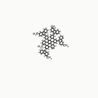 Cc1ccc2c(c1)c1ccccc1n2-c1ccc(-c2c(-c3ccncc3)c(-c3ccc(-n4c5ccccc5c5cc(C)ccc54)cc3)c(-c3cccc(C)n3)c(-c3ccc(-n4c5ccccc5c5cc(C)ccc54)cc3)c2-c2ccc(-n3c4ccccc4c4cc(C)ccc43)cc2)cc1